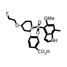 COc1cc(C)c2[nH]ccc2c1S(=O)(=O)N1CC[C@@H](OCCF)C[C@H]1c1ccc(C(=O)O)cc1